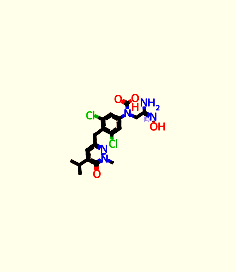 CC(C)c1cc(Cc2c(Cl)cc(N(C/C(N)=N\O)C(=O)O)cc2Cl)nn(C)c1=O